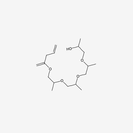 C=CCC(=C)OCC(C)OCC(C)OCC(C)OCC(C)O